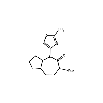 CNC1CCC2CCCC2N(c2nsc(C)n2)C1=O